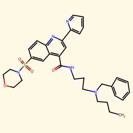 CCCCN(CCCNC(=O)c1cc(-c2ccccn2)nc2ccc(S(=O)(=O)N3CCOCC3)cc12)Cc1ccccc1